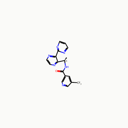 C[C@@H](NC(=O)c1cncc(C(F)(F)F)c1)c1nccnc1-c1ncccn1